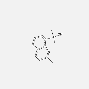 Cc1ccc2cccc(C(C)(C)O)c2n1